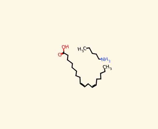 CCCCC/C=C\C/C=C\CCCCCCCC(=O)O.CCCCCN